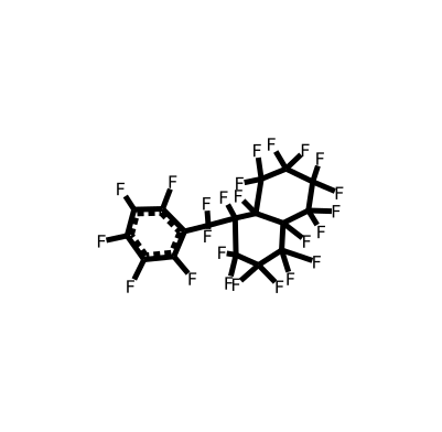 Fc1c(F)c(F)c(C(F)(F)C2(F)C(F)(F)C(F)(F)C(F)(F)C3(F)C(F)(F)C(F)(F)C(F)(F)C(F)(F)C23F)c(F)c1F